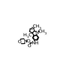 CN1CC[C@@]2(C)c3cc(NC(=O)ON4CCOCC4)ccc3N(C)C12